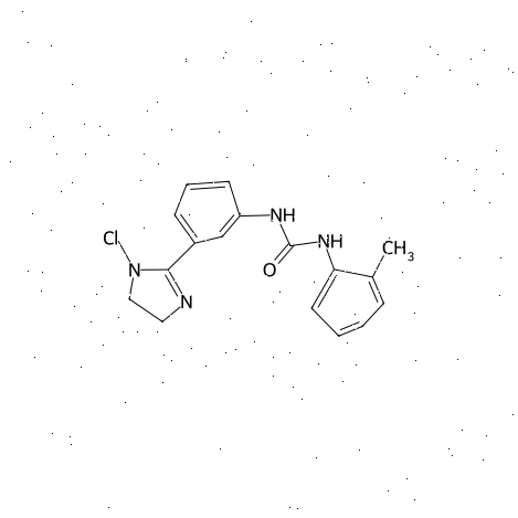 Cc1ccccc1NC(=O)Nc1cccc(C2=NCCN2Cl)c1